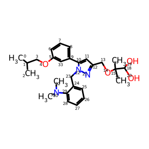 CC(C)COc1cccc(-c2cc(COC(C)(C)C(O)O)nn2Cc2ccccc2N(C)C)c1